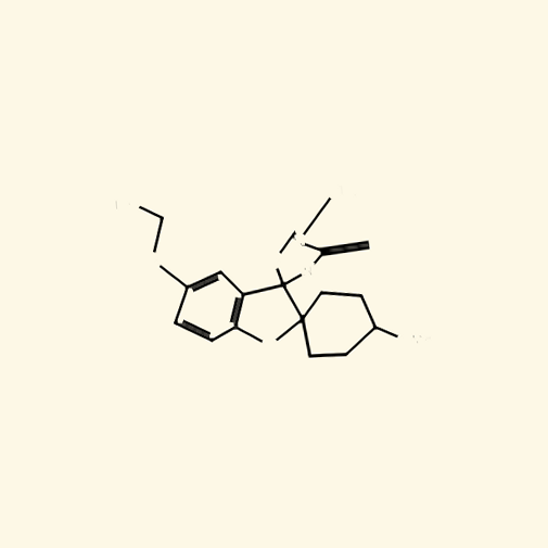 COC1CCC2(CC1)Oc1ccc(OCC(F)(F)F)cc1C21NC(=O)N(C)CO1